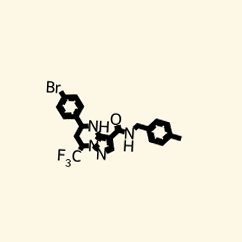 Cc1ccc(CNC(=O)c2cnn3c2NC(c2ccc(Br)cc2)CC3C(F)(F)F)cc1